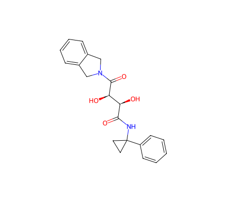 O=C(NC1(c2ccccc2)CC1)[C@H](O)[C@@H](O)C(=O)N1Cc2ccccc2C1